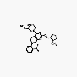 CN1CCC[C@H]1COc1nc2c(c(N3CCNC(CC#N)C3)n1)CCN(c1ccccc1C(F)F)C2